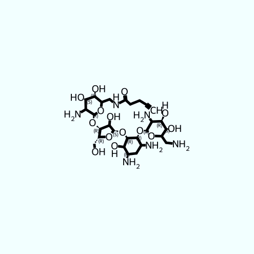 C#CCCC(=O)NCC1O[C@H](O[C@@H]2C(O)[C@H](O[C@@H]3C(O)[C@H](N)CC(N)[C@H]3O[C@H]3OC(CN)[C@@H](O)[C@H](O)C3N)O[C@@H]2CO)C(N)[C@H](O)[C@@H]1O